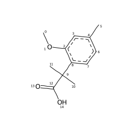 COc1cc(C)ccc1C(C)(C)C(=O)O